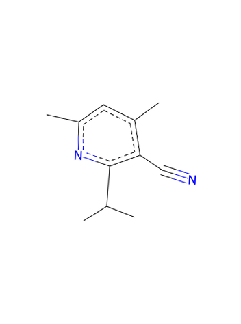 Cc1cc(C)c(C#N)c(C(C)C)n1